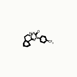 CN1CCc2ccccc2/C1=N/N(C(N)=O)c1ccc(C(F)(F)F)cc1